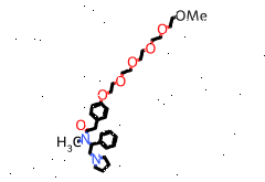 COCCOCCOCCOCCOCCOc1ccc(CC(=O)N(C)C(CN2CCCC2)c2ccccc2)cc1